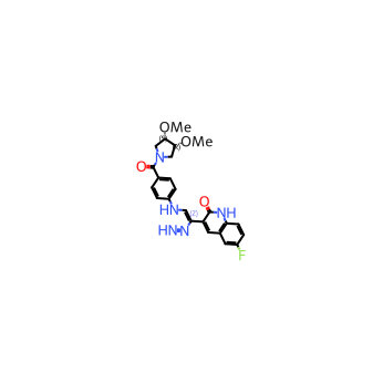 CO[C@H]1CN(C(=O)c2ccc(N/C=C(\N=N)c3cc4cc(F)ccc4[nH]c3=O)cc2)C[C@H]1OC